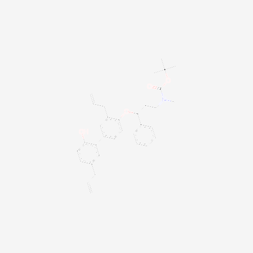 C=CCc1ccc(O)c(-c2ccc(OC(CCN(C)C(=O)OC(C)(C)C)c3ccccc3)c(CC=C)c2)c1